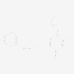 Cc1cc(C)c(OCC2OC2c2ccccc2)c(C)c1/C=N/O